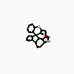 c1ccc2c(c1)Oc1ccccc1C21c2ccccc2-c2ccc3[nH]c4ccccc4c3c21